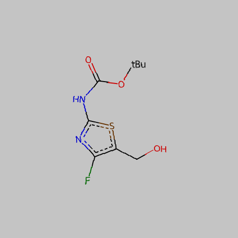 CC(C)(C)OC(=O)Nc1nc(F)c(CO)s1